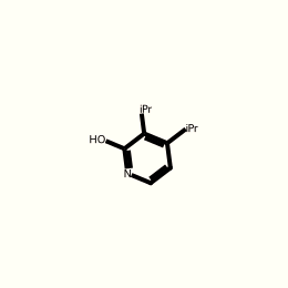 CC(C)c1ccnc(O)c1C(C)C